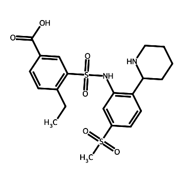 CCc1ccc(C(=O)O)cc1S(=O)(=O)Nc1cc(S(C)(=O)=O)ccc1C1CCCCN1